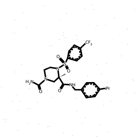 CC(C)c1ccc(CNC(=O)[C@@]2(C)CN(C(N)=O)CCN2S(=O)(=O)c2ccc(C(F)(F)F)cc2)cc1